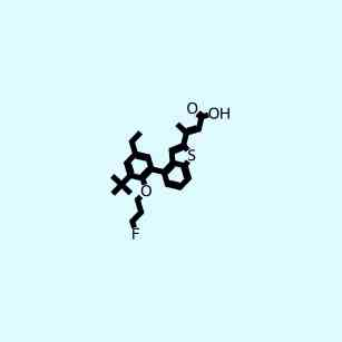 CCc1cc(-c2cccc3sc(/C(C)=C/C(=O)O)cc23)c(OCCCF)c(C(C)(C)C)c1